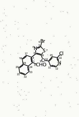 O=Cc1c(-c2nc(Br)sc2Oc2ccnc(Cl)c2)ccc2ccccc12